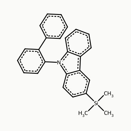 C[Si](C)(C)c1ccc2c(c1)c1ccccc1n2-c1ccccc1-c1ccccc1